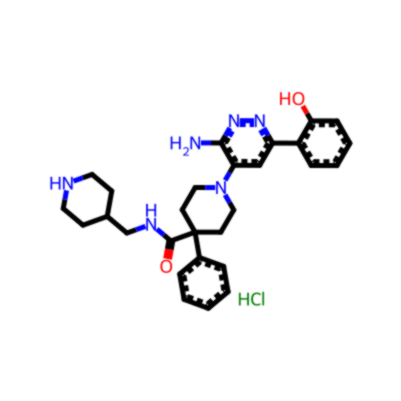 Cl.Nc1nnc(-c2ccccc2O)cc1N1CCC(C(=O)NCC2CCNCC2)(c2ccccc2)CC1